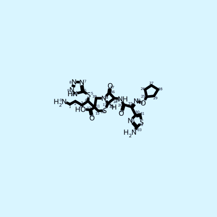 NCCCC(Sc1nnn[nH]1)C1(C(=O)O)CS[C@@H]2C(NC(=O)C(=NOC3CCCC3)c3csc(N)n3)C(=O)N2C1